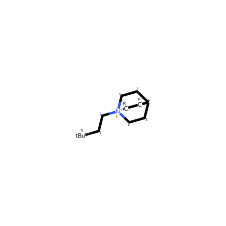 CC(C)(C)CC[N+]12CCC(CC1)CC2